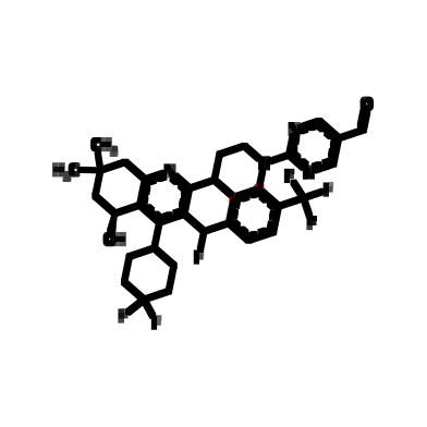 CC1(C)Cc2nc(C3CCN(c4ncc(C=O)cn4)CC3)c(C(F)c3ccc(C(F)(F)F)cc3)c(C3CCC(F)(F)CC3)c2[C@@H](O)C1